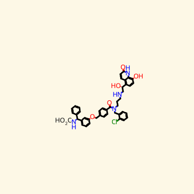 O=C(O)N[C@@H](c1ccccc1)c1cccc(OCc2ccc(C(=O)N(CCCNC[C@H](O)c3ccc(O)c4[nH]c(=O)ccc34)Cc3ccccc3Cl)cc2)c1